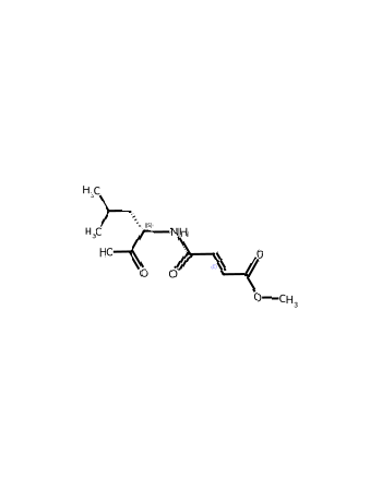 COC(=O)/C=C/C(=O)N[C@@H](CC(C)C)C(=O)O